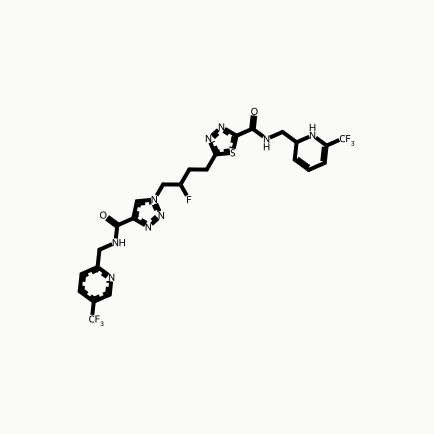 O=C(NCc1ccc(C(F)(F)F)cn1)c1cn(CC(F)CCc2nnc(C(=O)NCC3C=CC=C(C(F)(F)F)N3)s2)nn1